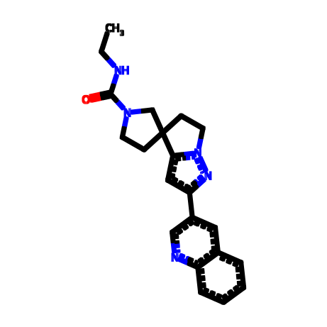 CCNC(=O)N1CCC2(CCn3nc(-c4cnc5ccccc5c4)cc32)C1